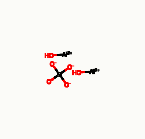 [O-][Si]([O-])([O-])[O-].[OH][Al+2].[OH][Al+2]